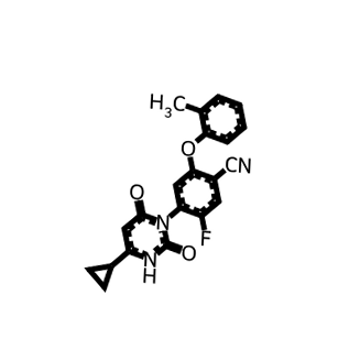 Cc1ccccc1Oc1cc(-n2c(=O)cc(C3CC3)[nH]c2=O)c(F)cc1C#N